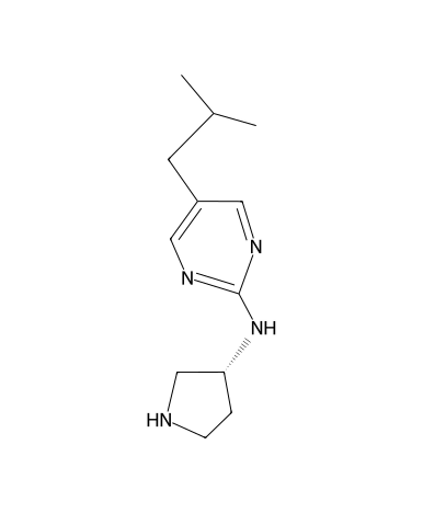 CC(C)Cc1cnc(N[C@@H]2CCNC2)nc1